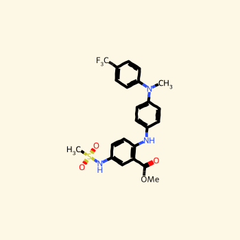 COC(=O)c1cc(NS(C)(=O)=O)ccc1Nc1ccc(N(C)c2ccc(C(F)(F)F)cc2)cc1